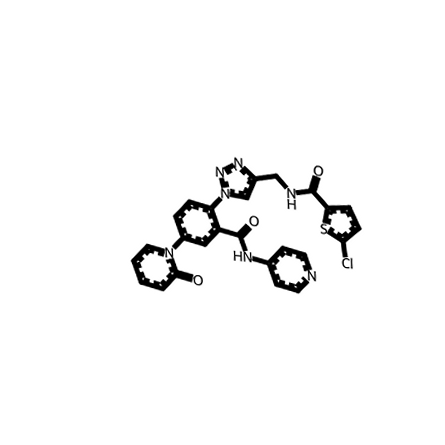 O=C(NCc1cn(-c2ccc(-n3ccccc3=O)cc2C(=O)Nc2ccncc2)nn1)c1ccc(Cl)s1